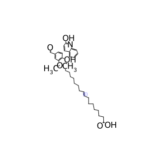 CCCCCCCC/C=C/CCCCCCCC(=O)O.COc1cc(C=O)ccc1O.Oc1ccc2ccccc2n1